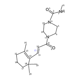 CNC(=O)N1CCN(C(=O)/C=C/C2=C(C)CCCC2(C)C)CC1